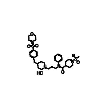 CS(=O)(=O)N1CCC(C(=O)N(CCCN2CCC(Cc3ccc(S(=O)(=O)N4CCOCC4)cc3)CC2)c2ccccc2)CC1.Cl